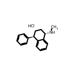 CN[C@H]1CC[C@H](c2ccccc2)c2ccccc21.Cl